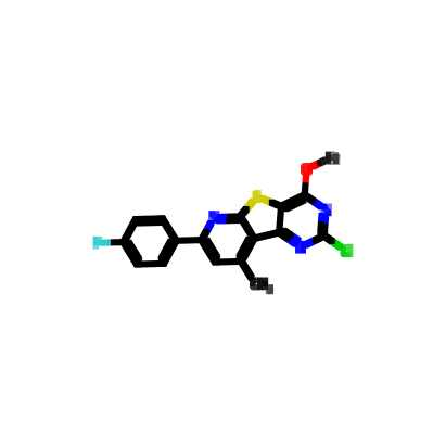 CCOc1nc(Cl)nc2c1sc1nc(-c3ccc(F)cc3)cc(C)c12